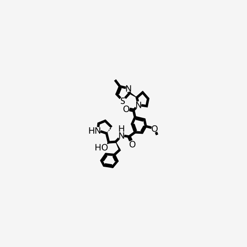 COc1cc(C(=O)N[C@@H](Cc2ccccc2)[C@H](O)[C@H]2CCCN2)cc(C(=O)N2CCC[C@@H]2c2nc(C)cs2)c1